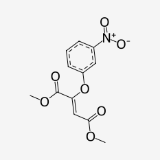 COC(=O)/C=C(\Oc1cccc([N+](=O)[O-])c1)C(=O)OC